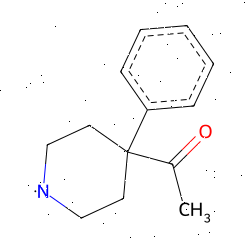 CC(=O)C1(c2ccccc2)CC[N]CC1